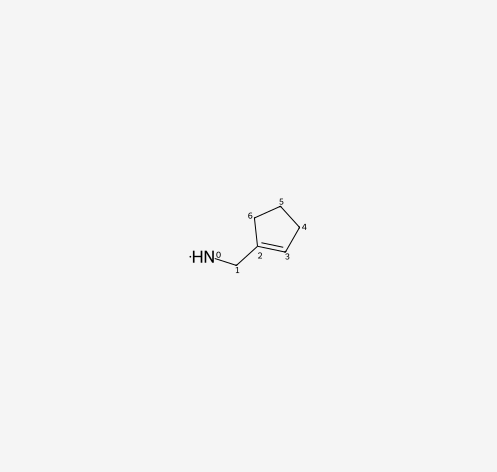 [NH]CC1=CCCC1